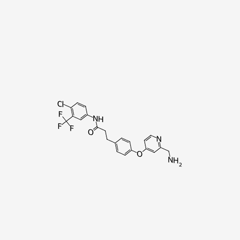 NCc1cc(Oc2ccc(CCC(=O)Nc3ccc(Cl)c(C(F)(F)F)c3)cc2)ccn1